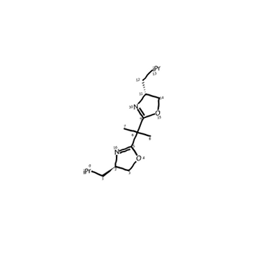 CC(C)C[C@@H]1COC(C(C)(C)C2=N[C@H](CC(C)C)CO2)=N1